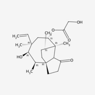 C=C[C@@]1(C)C[C@H](OC(=O)CO)[C@@]2(C)C3C(=O)CC[C@]3(CC[C@@H]2C)[C@@H](C)[C@H]1O